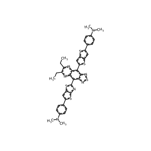 CCc1nc2c(-c3cc4sc(-c5ccc(N(C)C)cc5)cc4s3)c3nsnc3c(-c3nc4sc(-c5ccc(N(C)C)cc5)cc4s3)c2nc1CC